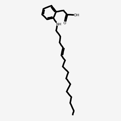 CCCCCCCCCC/C=C/CCCNc1ccccc1CC(=O)O